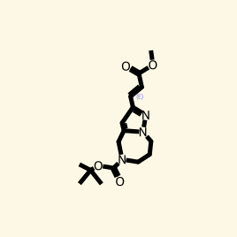 COC(=O)/C=C/c1cc2n(n1)CCCN(C(=O)OC(C)(C)C)C2